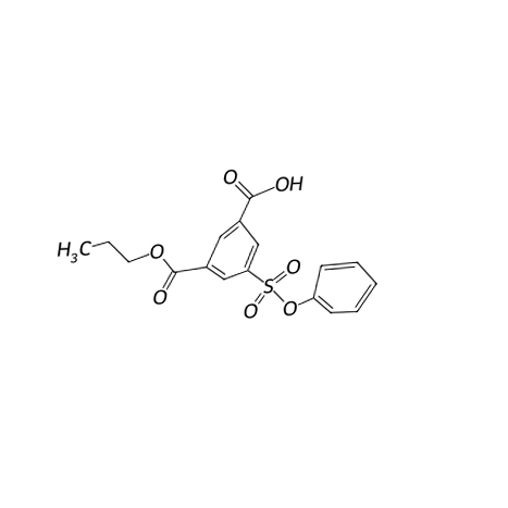 CCCOC(=O)c1cc(C(=O)O)cc(S(=O)(=O)Oc2ccccc2)c1